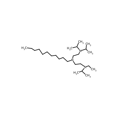 CCCCCCCCCCCN(CCN(CC)C(C)C)CCN(C(C)C)C(C)C